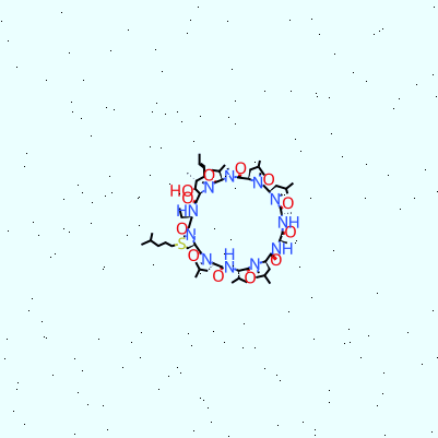 C/C=C/C[C@@H](C)[C@@H](O)[C@@H]1C(=O)N[C@H](CC)C(=O)N(C)[C@H](CSCCCC(C)C)C(=O)N(C)[C@@H](CC(C)C)C(=O)N[C@H](C(C)C)C(=O)N(C)[C@H](CC(C)C)C(=O)N[C@H](C)C(=O)N[C@@H](C)C(=O)N(C)[C@H](CC(C)C)C(=O)N(C)[C@H](CC(C)C)C(=O)N(C)[C@H](C(C)C)C(=O)N1C